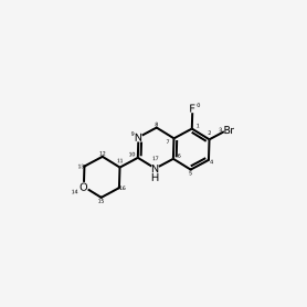 Fc1c(Br)ccc2c1CN=C(C1CCOCC1)N2